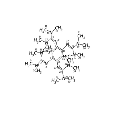 CN(C)C(=Nc1cc(N=C(N(C)C)N(C)C)c(N=C(N(C)C)N(C)C)cc1N=C(N(C)C)N(C)C)N(C)C